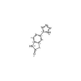 O=C1Cc2cc(-c3nnn[nH]3)ccc2N1